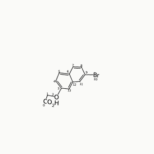 O=C(O)COc1ccc2ccc(Br)cc2c1